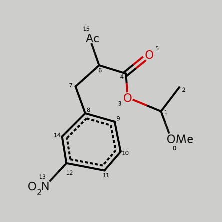 COC(C)OC(=O)C(Cc1cccc([N+](=O)[O-])c1)C(C)=O